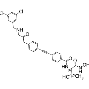 C[C@@H](O)[C@H](NC(=O)c1ccc(C#Cc2ccc(CC(=O)CNCc3cc(Cl)cc(Cl)c3)cc2)cc1)C(=O)NO